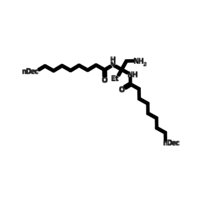 CCCCCCCCCCCCCCCCCC(=O)NC(CC)(CN)NC(=O)CCCCCCCCCCCCCCCCC